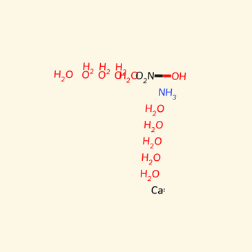 N.O.O.O.O.O.O.O.O.O.O.O=[N+]([O-])O.[Ca]